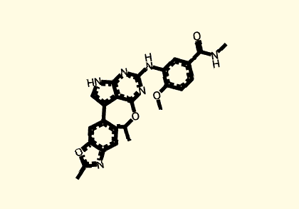 CNC(=O)c1ccc(OC)c(Nc2nc(OC(C)C)c3c(-c4ccc5nc(C)oc5c4)c[nH]c3n2)c1